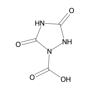 O=C(O)n1[nH]c(=O)[nH]c1=O